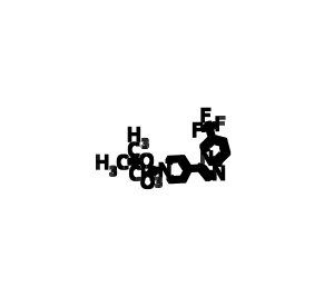 CC(C)(C)OC(=O)N1CC=C(c2cnc3ccc(C(F)(F)F)cn23)CC1